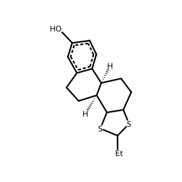 CCC1SC2CC[C@@H]3c4ccc(O)cc4CC[C@@H]3C2S1